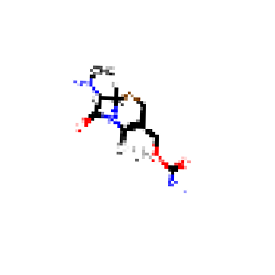 NC(=O)OCC1=C(C(=O)O)N2C(=O)[C@@H](NC=O)[C@@H]2SC1